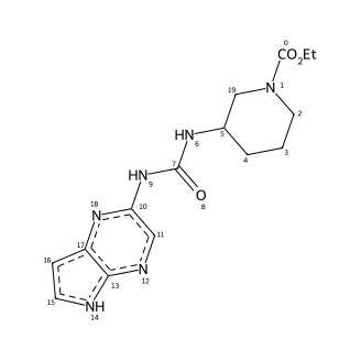 CCOC(=O)N1CCCC(NC(=O)Nc2cnc3[nH]ccc3n2)C1